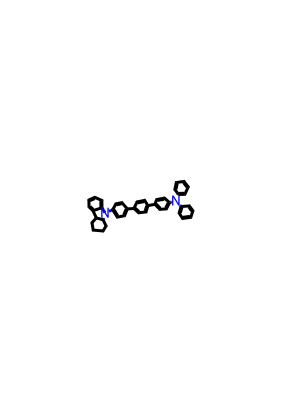 c1ccc(N(c2ccccc2)c2ccc(-c3ccc(-c4ccc(N5c6ccccc6C6CCCCC65)cc4)cc3)cc2)cc1